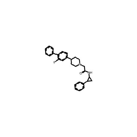 O=C(CN1CCC(c2ccc(-c3ccccc3)c(F)c2)CC1)NC1CC1c1ccccc1